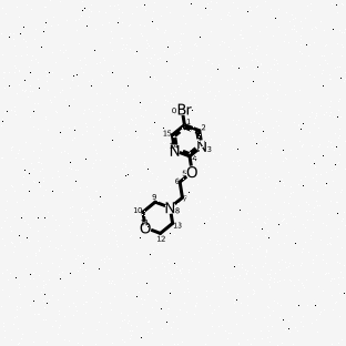 Brc1cnc(OCCN2CCOCC2)nc1